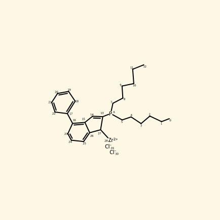 CCCCCCP(CCCCCC)C1=Cc2c(-c3ccccc3)cccc2[CH]1[Zr+2].[Cl-].[Cl-]